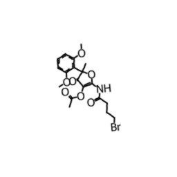 COc1cccc(OC)c1C1(C)OC(NC(=O)CCCBr)=C(OC(C)=O)C1=O